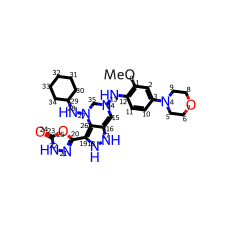 COc1cc(N2CCOCC2)ccc1NN1C=C2NNC(c3n[nH]c(=O)o3)=C2N(NC2CCCCC2)C1